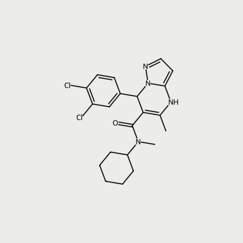 CC1=C(C(=O)N(C)C2CCCCC2)C(c2ccc(Cl)c(Cl)c2)n2nccc2N1